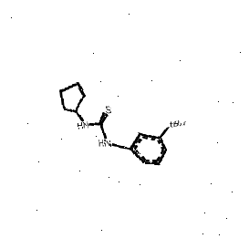 CC(C)(C)c1cccc(NC(=S)NC2CCCC2)c1